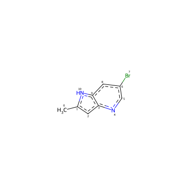 Cc1cc2ncc(Br)cc2[nH]1